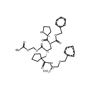 CCOC(=O)[C@H](COCc1ccccc1)NC(=O)C1(C[C@@H](CN(C(=O)OCc2ccccc2)C(=O)[C@@H]2CCCN2)C(=O)OCOC(=O)C(C)(C)C)CCCC1